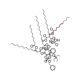 CCCCCCCCCCC[C@H](CC(=O)N[C@@H]1[C@@H](OC[C@H](NC(=O)C[C@@H](CCCCCCCCCCC)OC(=O)CCCCCCCCC)C(=O)O)O[C@@H](CO[Si](CC)(CC)CC)[C@H](OP(=O)(OCc2ccccc2)OCc2ccccc2)[C@H]1OC(=O)C[C@@H](CCCCCCCCCCC)OC(=O)CCCCCCCCC)OC(=O)CCCCCCCCC